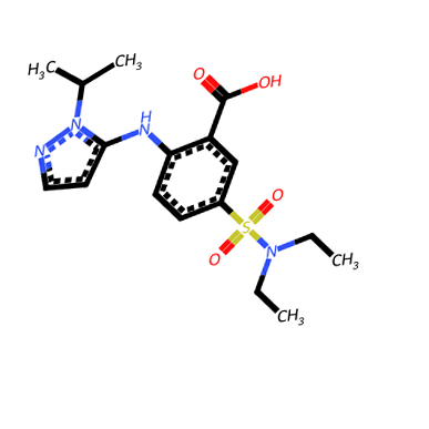 CCN(CC)S(=O)(=O)c1ccc(Nc2ccnn2C(C)C)c(C(=O)O)c1